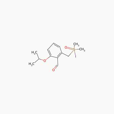 CC(C)Oc1cccc(CS(C)(C)(=O)I)c1C=O